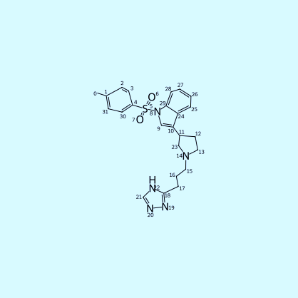 Cc1ccc(S(=O)(=O)n2cc(C3CCN(CCCc4nnc[nH]4)C3)c3ccccc32)cc1